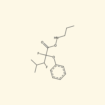 CCCNOC(=O)C(F)(Oc1ccccc1)C(F)C(C)C